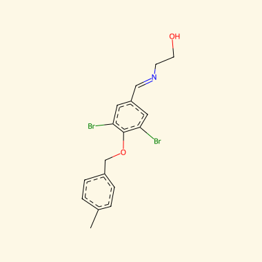 Cc1ccc(COc2c(Br)cc(C=NCCO)cc2Br)cc1